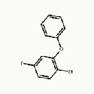 CCc1ccc(F)cc1Oc1ccccc1